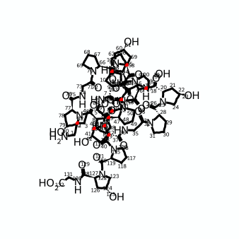 NCCCC[C@H](NC(=O)[C@@H]1CCCN1C(=O)CNC(=O)[C@@H]1C[C@@H](O)CN1C(=O)[C@@H]1CCCN1C(=O)CNC(=O)[C@@H]1C[C@@H](O)CN1C(=O)[C@@H]1CCCN1C(=O)CNC(=O)[C@@H]1C[C@@H](O)CN1C(=O)[C@@H]1CCCN1C(=O)CNC(=O)[C@@H]1C[C@@H](O)CN1C(=O)[C@@H]1CCCN1C(=O)CNC(=O)[C@@H]1C[C@@H](O)CN1C(=O)[C@@H]1CCCN1)C(=O)NCC(=O)N1CCC[C@H]1C(=O)N1C[C@H](O)C[C@H]1C(=O)NCC(=O)O